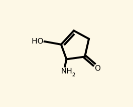 NC1C(=O)CC=C1O